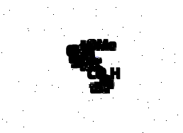 COc1c(C)c2c(c(O[Si](C)(C)C(C)(C)C)c1C/C=C(\C)C(CCCO[Si](C)(C)C(C)(C)C)CC(=O)O)C(=O)OC2